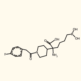 NC(CCCCB(O)O)(C(=O)O)C1CCN(C(=O)Cc2ccc(F)cc2)CC1